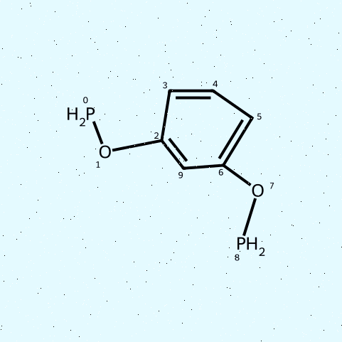 POc1cccc(OP)c1